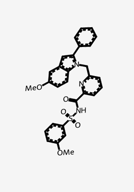 COc1cccc(S(=O)(=O)NC(=O)c2cccc(Cn3c(-c4ccccc4)cc4cc(OC)ccc43)n2)c1